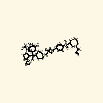 C=CC(=O)N1CCOCC(S(=O)(=O)c2ccc(N3CC(F)(CN4CCC(C(CN5CCC5)(c5cccc(F)c5)[C@H]5CCC[C@@H]5NC(=O)OC)CC4)C3)cc2)C1